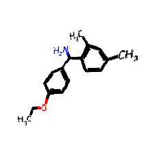 CCOc1ccc(C(N)c2ccc(C)cc2C)cc1